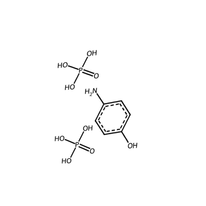 Nc1ccc(O)cc1.O=P(O)(O)O.O=P(O)(O)O